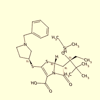 CC[C@](O[SiH](C)C)([C@@H]1C(=O)N2C(C(=O)O)=C(S[C@H]3CCN(Cc4ccccc4)C3)S[C@H]12)C(C)(C)C